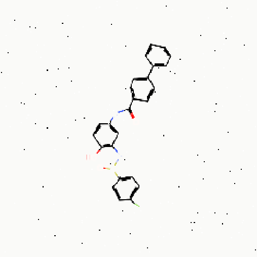 O=C(Nc1ccc(O)c(N[S+]([O-])c2ccc(F)cc2)c1)c1ccc(-c2ccccc2)cc1